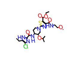 CCOC(=O)c1sc(N2CCC(NC(=O)c3nc(Cl)c(CC)[nH]3)C(OC(C)C)C2)nc1C(=O)NCCOC